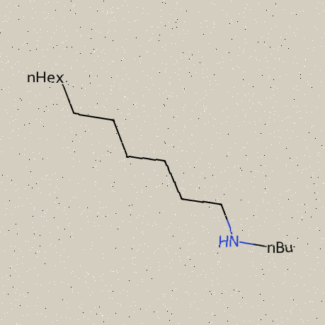 CCC[CH]NCCCCCCCCCCCC